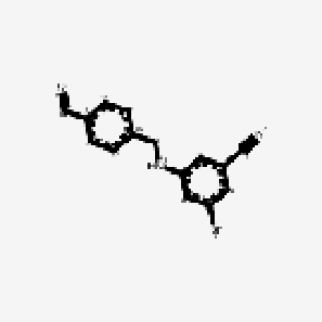 N#Cc1cc(Br)cc(NCc2ccc(C=O)cc2)c1